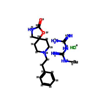 CCCCNC(=N)NC(=N)N.Cl.O=C1NCC2(CCN(CCc3ccccc3)CC2)O1